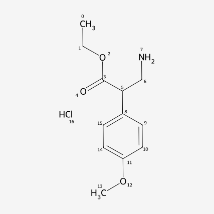 CCOC(=O)C(CN)c1ccc(OC)cc1.Cl